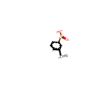 O=Cc1cccc(S(=O)O)c1